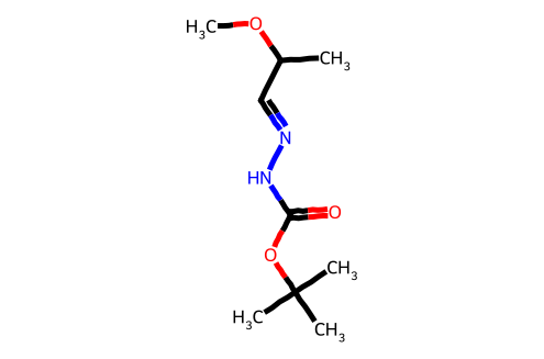 COC(C)C=NNC(=O)OC(C)(C)C